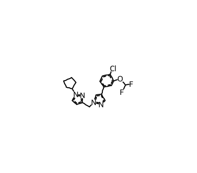 FC(F)Oc1cc(-c2cnn(Cc3ccn(C4CCCC4)n3)c2)ccc1Cl